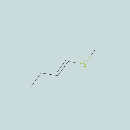 CCC=CSC